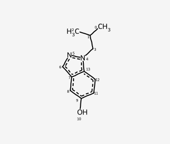 CC(C)Cn1ncc2cc(O)ccc21